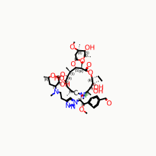 CC[C@H]1OC(=O)[C@H](C)[C@@H](O[C@H]2C[C@@](C)(OC)[C@@H](O)[C@H](C)O2)[C@H](C)[C@@H](O[C@@H]2O[C@H](C)C[C@H](N(C)CCc3cn([C@H](CF)[C@H](OC)c4ccc(C=O)cc4)nn3)[C@H]2O)[C@](C)(O)C[C@@H](C)CN(C)[C@H](C)[C@@H](O)[C@]1(C)O